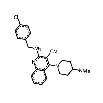 CNC1CCN(c2c(C#N)c(NCc3ccc(Cl)cc3)nc3ccccc23)CC1